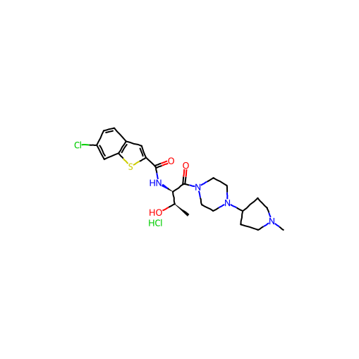 C[C@@H](O)[C@@H](NC(=O)c1cc2ccc(Cl)cc2s1)C(=O)N1CCN(C2CCN(C)CC2)CC1.Cl